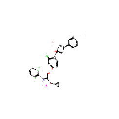 [2H]C(Oc1ccc(C2(O)CC(c3cccc(C(=O)O)c3)C2)c(Cl)c1)c1c(-c2c(Cl)cccc2Cl)noc1C1CC1